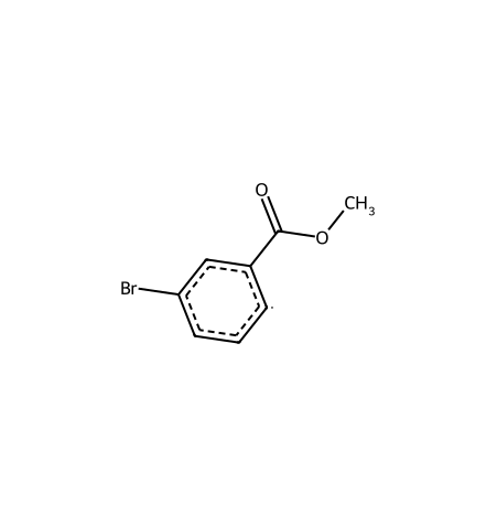 COC(=O)c1[c]ccc(Br)c1